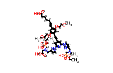 CCOP(=O)(O)CN(C)Cc1ccn(-c2cc(C#Cc3cc(OCCOC)c(C#CCCCCC(=O)O)cc3OCCOC)cc(-n3ccc(CN(CC(=O)O)CP(=O)(O)OCC)n3)n2)n1